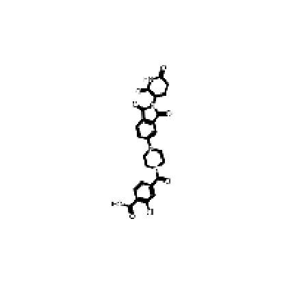 O=C1CCC(N2C(=O)c3ccc(N4CCN(C(=O)c5ccc(C(=O)O)c(Cl)c5)CC4)cc3C2=O)C(=O)N1